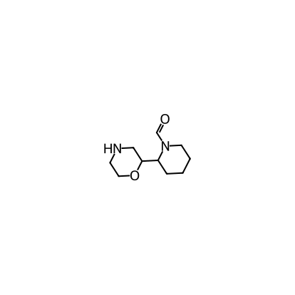 O=CN1CCCCC1C1CNCCO1